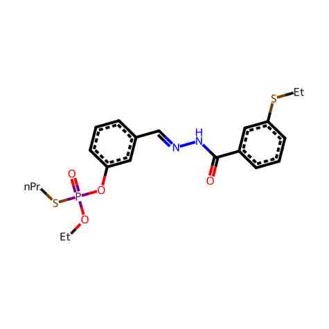 CCCSP(=O)(OCC)Oc1cccc(C=NNC(=O)c2cccc(SCC)c2)c1